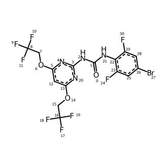 O=C(Nc1nc(OCC(F)(F)F)cc(OCC(F)(F)F)n1)Nc1c(F)cc(Br)cc1F